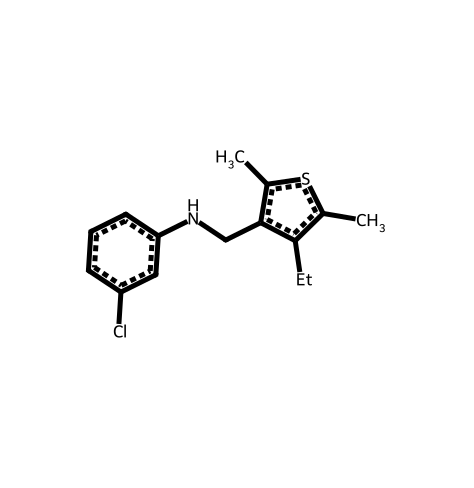 CCc1c(C)sc(C)c1CNc1cccc(Cl)c1